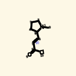 CN1CCCC1/C=C/C(=O)Cl